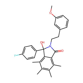 COc1cccc(CCN2C(=O)c3c(C)c(C)c(C)c(C)c3C2(O)c2ccc(F)cc2)c1